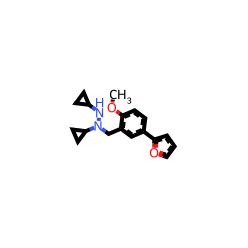 COc1ccc(-c2ccco2)cc1CN(NC1CC1)C1CC1